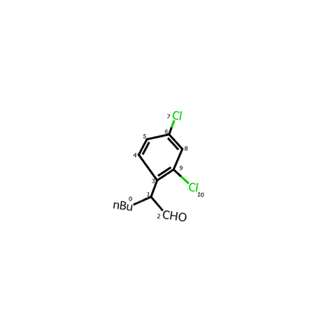 CCCCC(C=O)c1ccc(Cl)cc1Cl